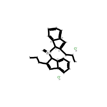 [CH2]=[Zr+2]([CH]1C(CCC)=Cc2ccccc21)[CH]1C(CCC)=Cc2ccccc21.[Cl-].[Cl-]